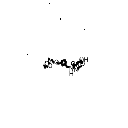 Cc1cnc(NCCc2cccc(COCCN(C)C(=O)OC(C)(C)C)c2)c(=O)n1CC(=O)O